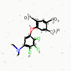 CN(C)c1cc(Oc2cc(C(=O)O)c([N+](=O)[O-])cc2[N+](=O)[O-])c(Cl)c(Cl)c1Cl